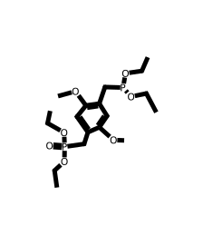 CCOP(Cc1cc(OC)c(CP(=O)(OCC)OCC)cc1OC)OCC